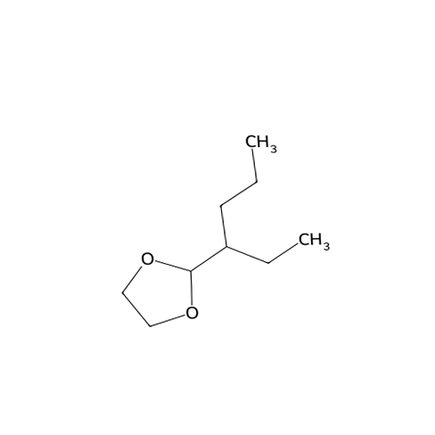 CCCC(CC)C1OCCO1